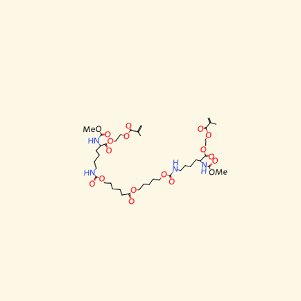 C=C(C)C(=O)OCCOC(=O)C(CCCCNC(=O)OCCCCCOC(=O)CCCCCOC(=O)NCCCCC(NC(=O)OC)C(=O)OCCOC(=O)C(=C)C)NC(=O)OC